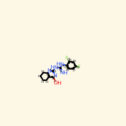 N=C(Nc1nc(O)c2c(n1)CCCC2)Nc1ccc(F)cc1F